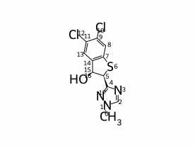 Cn1cnc([C@@H]2Sc3cc(Cl)c(Cl)cc3[C@@H]2O)n1